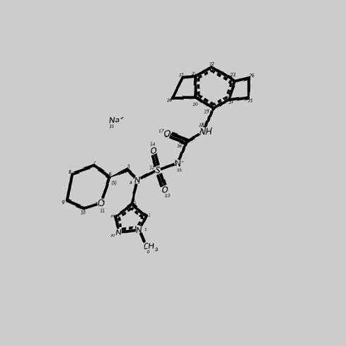 Cn1cc(N(C[C@@H]2CCCCO2)S(=O)(=O)[N-]C(=O)Nc2c3c(cc4c2CC4)CC3)cn1.[Na+]